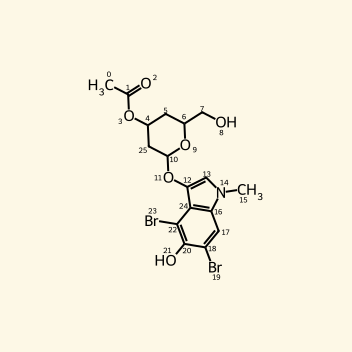 CC(=O)OC1CC(CO)OC(Oc2cn(C)c3cc(Br)c(O)c(Br)c23)C1